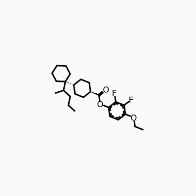 CCCC(C)C1([C@H]2CC[C@H](C(=O)Oc3ccc(OCC)c(F)c3F)CC2)CCCCC1